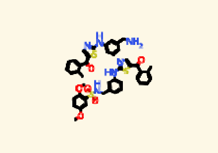 COc1ccc(OC)c(S(=O)(=O)NCc2cccc(Nc3ncc(C(=O)c4ccccc4C)s3)c2)c1.Cc1ccccc1C(=O)c1cnc(Nc2cccc(CN)c2)s1